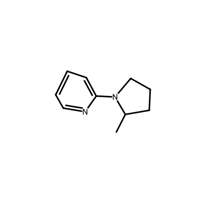 CC1CCCN1c1ccccn1